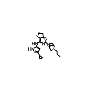 CCCN1CC2CC1CN2c1nc(Nc2cc(C3CC3)n[nH]2)c2sccc2n1